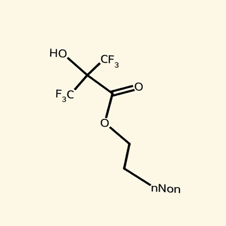 CCCCCCCCCCCOC(=O)C(O)(C(F)(F)F)C(F)(F)F